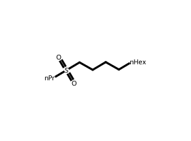 CCCCCCCCCCS(=O)(=O)CCC